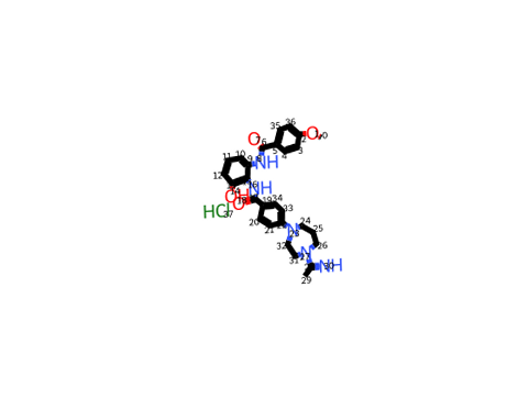 COc1ccc(C(=O)Nc2cccc(O)c2NC(=O)c2ccc(N3CCCN(C(C)=N)CC3)cc2)cc1.Cl